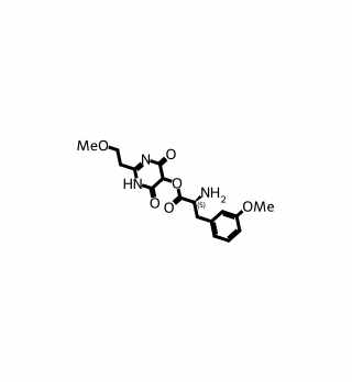 COCCC1=NC(=O)C(OC(=O)[C@@H](N)Cc2cccc(OC)c2)C(=O)N1